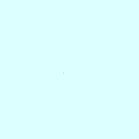 COc1ccc(Cl)cc1-c1nn([C@@H](C)[C@H](C)O)cc1NC(=O)c1cnn2cccnc12